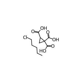 CCCCCCl.O=C(O)C1CC1(C(=O)O)C(=O)O